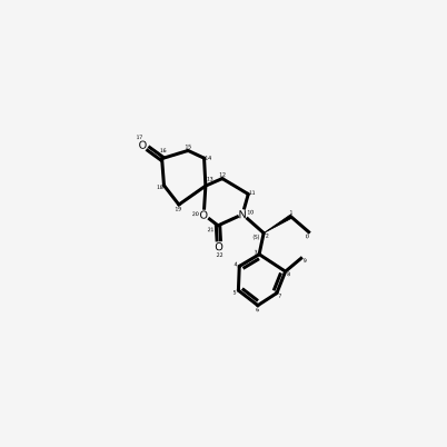 CC[C@@H](c1ccccc1C)N1CCC2(CCC(=O)CC2)OC1=O